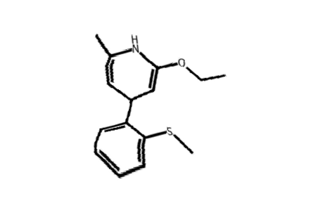 CCOC1=CC(c2ccccc2SC)C=C(C)N1